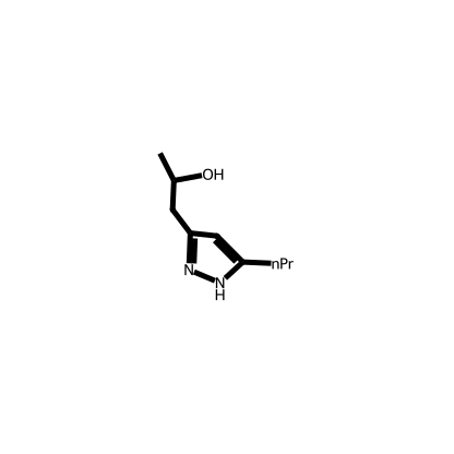 CCCc1cc(CC(C)O)n[nH]1